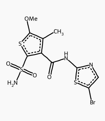 COc1sc(S(N)(=O)=O)c(C(=O)Nc2ncc(Br)s2)c1C